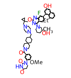 CCc1cccc2cc(O)cc(-c3ccc4c(N5CCC[C@@](C)(O)C5)nc(OCC5(CN6CCN(CC7CCC8(CC7)CCN(C(=O)c7ccc(OC)c(N9CCC(=O)NC9=O)c7)CC8)CC6)CC5)nc4c3F)c12